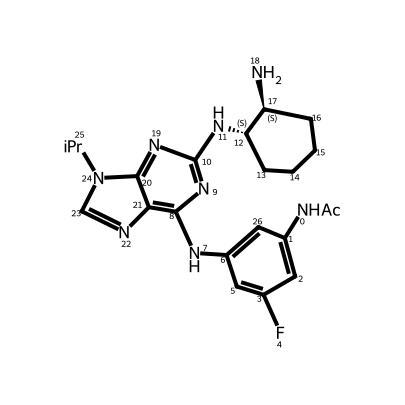 CC(=O)Nc1cc(F)cc(Nc2nc(N[C@H]3CCCC[C@@H]3N)nc3c2ncn3C(C)C)c1